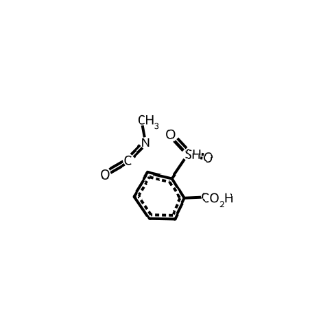 CN=C=O.O=C(O)c1ccccc1[SH](=O)=O